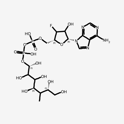 CC([C@@H](O)C(O)C(O)[C@@H](O)OP(=O)(O)OP(=O)(O)OC[C@H]1O[C@@H](n2cnc3c(N)ncnc32)C(O)C1F)[C@H](O)CO